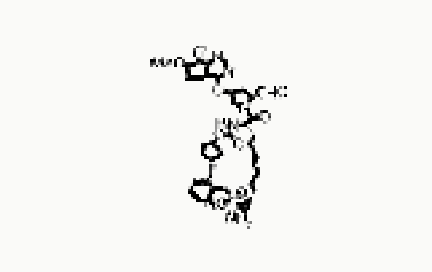 COc1ccc2c(OC3C[C@@H](C=O)N(C(=O)[C@H](CCCCCCC[C@@H]4C[C@]4(N)P(=O)(O)Cc4c(F)cccc4F)NC(=O)OC4CCCC4)C3)ncnc2c1Cl